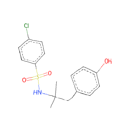 CC(C)(Cc1ccc(O)cc1)NS(=O)(=O)c1ccc(Cl)cc1